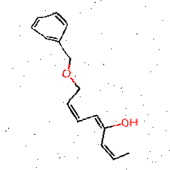 C\C=C/C(O)=C\C=C/COCc1ccccc1